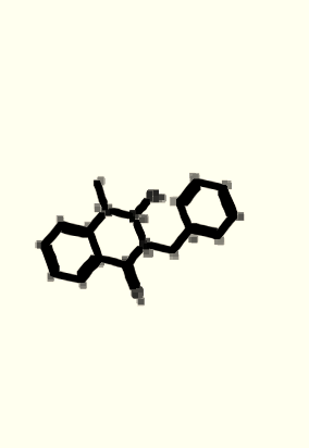 CN1c2ccccc2C(=O)N(Cc2ccccc2)P1Cl